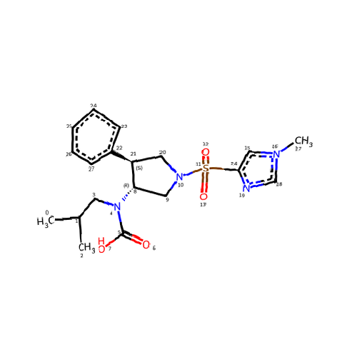 CC(C)CN(C(=O)O)[C@H]1CN(S(=O)(=O)c2cn(C)cn2)C[C@@H]1c1ccccc1